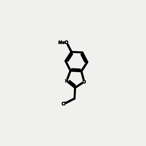 COc1ccc2oc(CCl)nc2c1